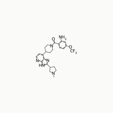 CN1CCC(c2nc3c(C4CCN(C(=O)c5ccc(OC(F)(F)F)cc5N)CC4)ccnc3[nH]2)C1